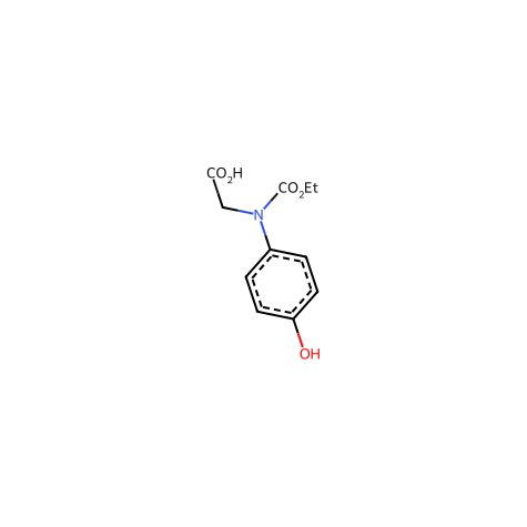 CCOC(=O)N(CC(=O)O)c1ccc(O)cc1